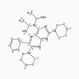 CC(O)N(c1nc(N2CCOCC2)nc2nc(N3CCOCC3)c(-c3ccccc3)nc12)C(C)O